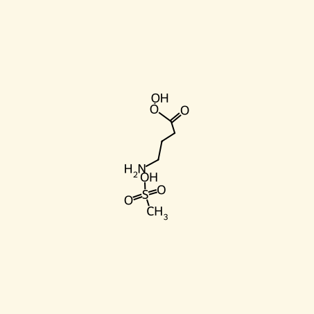 CS(=O)(=O)O.NCCCC(=O)OO